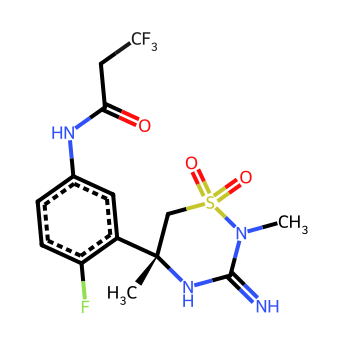 CN1C(=N)N[C@](C)(c2cc(NC(=O)CC(F)(F)F)ccc2F)CS1(=O)=O